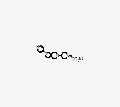 CCOC(=O)CN1CCC(N2CCC3(CCN(c4ccncc4)C3)CC2)CC1